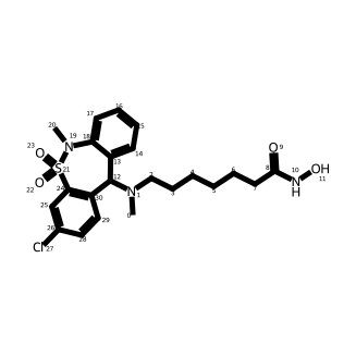 CN(CCCCCCC(=O)NO)C1c2ccccc2N(C)S(=O)(=O)c2cc(Cl)ccc21